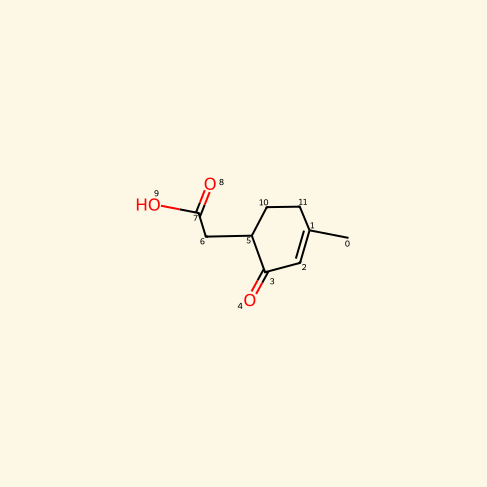 CC1=CC(=O)C(CC(=O)O)CC1